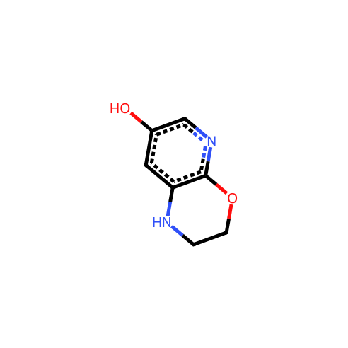 Oc1cnc2c(c1)NCCO2